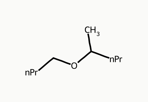 [CH2]CCC(C)OCCCC